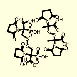 CC(SSC(C)(C(=O)O)N1C(=O)CCC1=O)(C(=O)O)N1C(=O)CCC1=O.O=C1CCC(=O)N1C(CSSCC(C(=O)O)(N1C(=O)CCC1=O)S(=O)(=O)O)(C(=O)O)S(=O)(=O)O